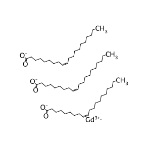 CCCCCCCCCC/C=C\CCCCCCCC(=O)[O-].CCCCCCCCCC/C=C\CCCCCCCC(=O)[O-].CCCCCCCCCC/C=C\CCCCCCCC(=O)[O-].[Gd+3]